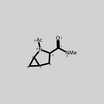 CNC(=O)C1CC2CC2N1C(C)=O